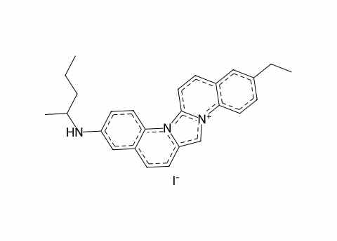 CCCC(C)Nc1ccc2c(ccc3c[n+]4c5ccc(CC)cc5ccc4n32)c1.[I-]